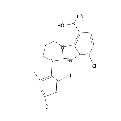 CCCC(O)c1ccc(Cl)c2nc3n(c12)CCCN3c1c(C)cc(Cl)cc1Cl